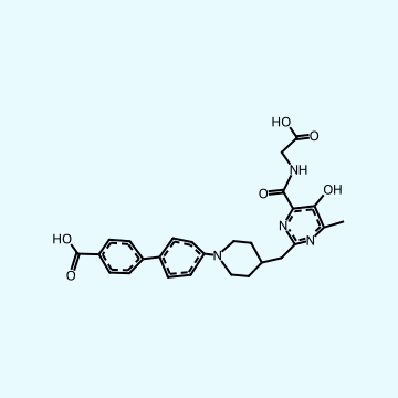 Cc1nc(CC2CCN(c3ccc(-c4ccc(C(=O)O)cc4)cc3)CC2)nc(C(=O)NCC(=O)O)c1O